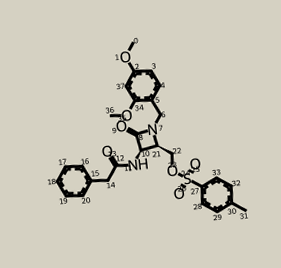 COc1ccc(CN2C(=O)[C@H](NC(=O)Cc3ccccc3)[C@@H]2COS(=O)(=O)c2ccc(C)cc2)c(OC)c1